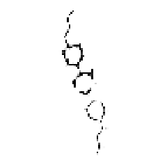 CCCCc1ccc(-c2cnc([C@H]3CC[C@H](CCCC)CC3)nc2F)cc1